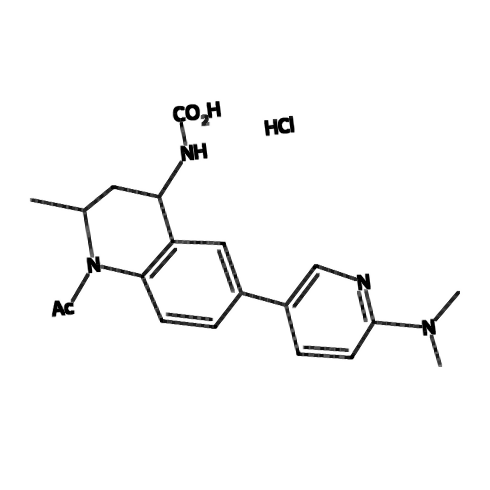 CC(=O)N1c2ccc(-c3ccc(N(C)C)nc3)cc2C(NC(=O)O)CC1C.Cl